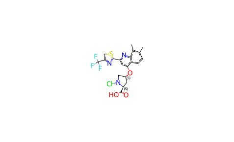 Cc1ccc2c(O[C@H]3C[C@@H](C(=O)O)N(Cl)C3)cc(-c3nc(C(F)(F)F)cs3)nc2c1C